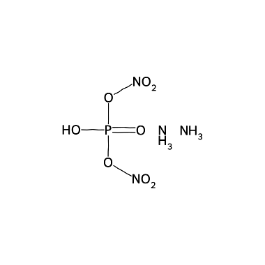 N.N.O=[N+]([O-])OP(=O)(O)O[N+](=O)[O-]